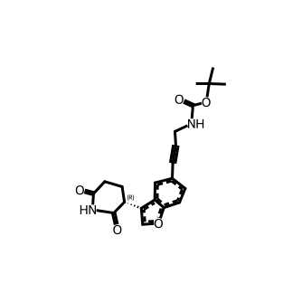 CC(C)(C)OC(=O)NCC#Cc1ccc2occ([C@H]3CCC(=O)NC3=O)c2c1